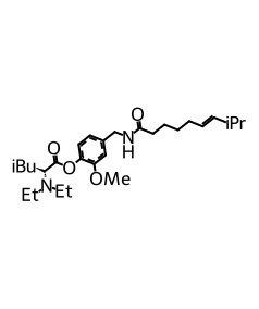 CC[C@H](C)[C@H](C(=O)Oc1ccc(CNC(=O)CCCC/C=C/C(C)C)cc1OC)N(CC)CC